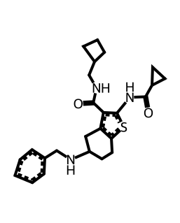 O=C(NCC1CCC1)c1c(NC(=O)C2CC2)sc2c1CC(NCc1ccccc1)CC2